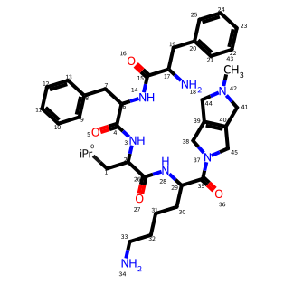 CC(C)CC(NC(=O)C(Cc1ccccc1)NC(=O)C(N)Cc1ccccc1)C(=O)NC(CCCCN)C(=O)N1CC2=C(CN(C)C2)C1